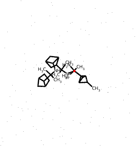 CC1C2C(CNC(C)(C)C3CC4CC3C4NC(C)(C)C3C4CCC3C4)C1C2C(C)(C)N